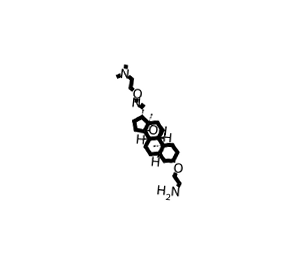 CN(C)CCON=C[C@H]1CC[C@]2(O)[C@@H]3CC[C@@H]4C[C@@H](OCCN)CC[C@]4(C)[C@H]3CC[C@]12C